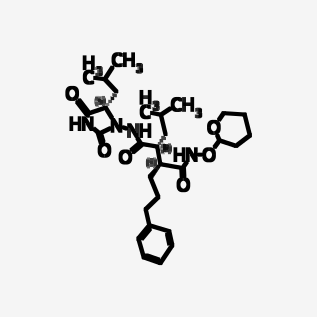 CC(C)C[C@@H](C(=O)NN1C(=O)NC(=O)[C@@H]1CC(C)C)[C@H](CCCc1ccccc1)C(=O)NOC1CCCCO1